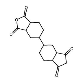 O=C1CC(=O)C2CC(C3CCC4C(=O)OC(=O)C4C3)CCC12